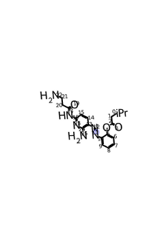 CC(C)CC(=O)Oc1ccccc1/N=N/c1ccc(NC(=O)CCN)nc1N